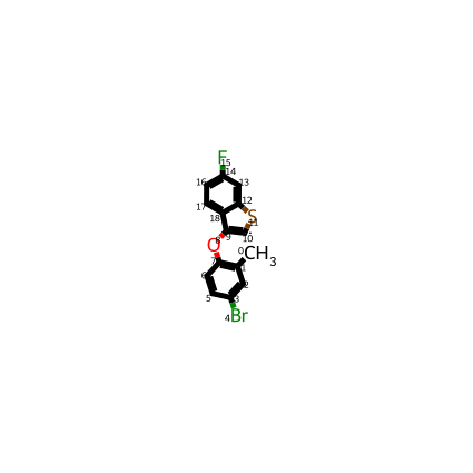 Cc1cc(Br)ccc1Oc1[c]sc2cc(F)ccc12